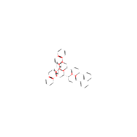 c1ccc(-c2cc(-c3ccc(-c4cccc5cccc(-c6ccc(-c7cc(-c8ccccc8)nc(-c8ccccc8)c7)cc6)c45)cc3)cc(-c3ccccc3)n2)cc1